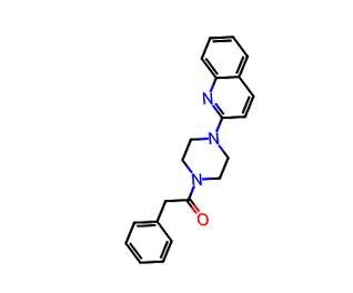 O=C(Cc1ccccc1)N1CCN(c2ccc3ccccc3n2)CC1